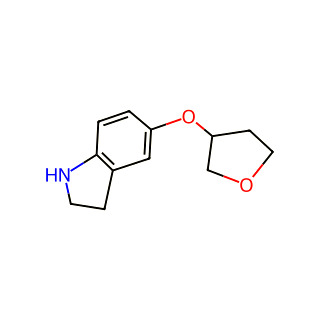 c1cc2c(cc1OC1CCOC1)CCN2